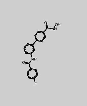 O=C(NO)c1ccc(-c2cccc(NC(=O)c3ccc(F)cc3)c2)cc1